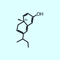 CCC(C)C1=CC[C@]2(C)C=CC(O)=CC2=C1